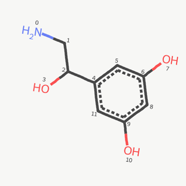 NCC(O)c1cc(O)cc(O)c1